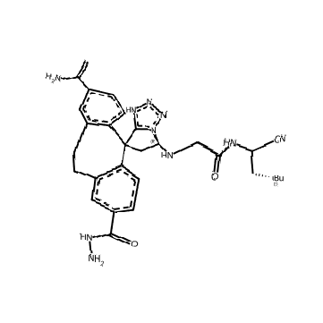 C=C(N)c1ccc2c(c1)CCc1cc(C(=O)NN)ccc1C2(C[C@@H](C)NCC(=O)NC(C#N)C[C@@H](C)CC)c1nnn[nH]1